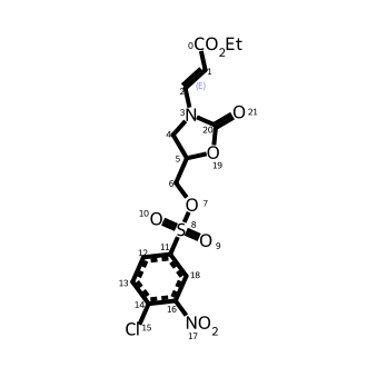 CCOC(=O)/C=C/N1CC(COS(=O)(=O)c2ccc(Cl)c([N+](=O)[O-])c2)OC1=O